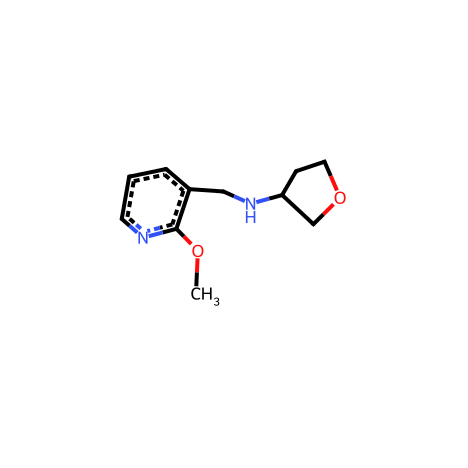 COc1ncccc1CNC1CCOC1